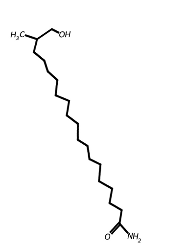 CC(CO)CCCCCCCCCCCCCCCCC(N)=O